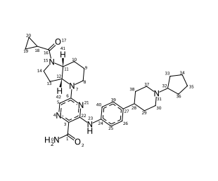 NC(=O)c1ncc(N2CCC[C@@H]3[C@H]2CCN3C(=O)C2CC2)nc1Nc1ccc(C2CCN(C3CCCC3)CC2)cc1